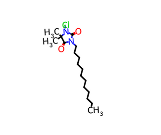 CCCCCCCCCCCCN1C(=O)N(Cl)C(C)(C)C1=O